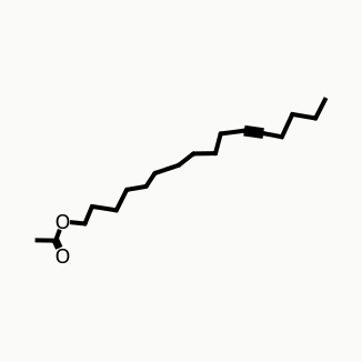 CCCCC#CCCCCCCCCCCOC(C)=O